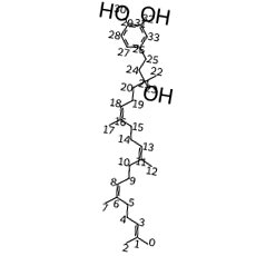 CC(C)=CCCC(C)=CCCC(C)=CCCC(C)=CCCC(C)(O)CCc1ccc(O)c(O)c1